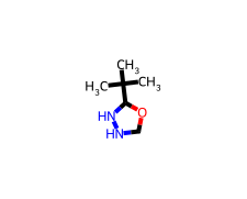 CC(C)(C)C1NNCO1